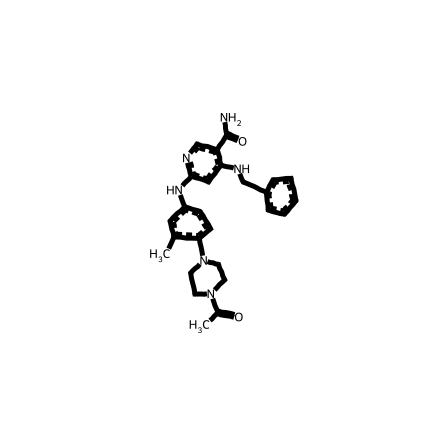 CC(=O)N1CCN(c2ccc(Nc3cc(NCc4ccccc4)c(C(N)=O)cn3)cc2C)CC1